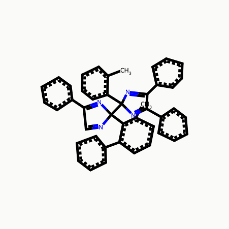 Cc1ccccc1C1(C2(c3c(C)cccc3-c3ccccc3)N=CC(c3ccccc3)=N2)N=C(c2ccccc2)C(c2ccccc2)=N1